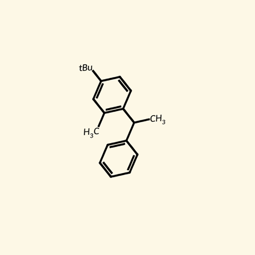 Cc1cc(C(C)(C)C)ccc1C(C)c1ccccc1